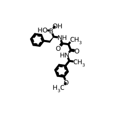 COc1cccc(C(C)NC(=O)C(C)C(=O)N[C@@H](Cc2ccccc2)B(O)O)c1